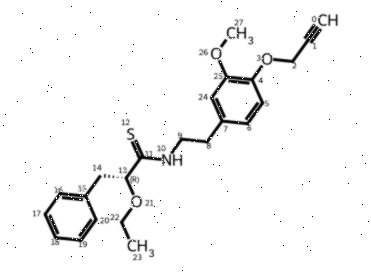 C#CCOc1ccc(CCNC(=S)[C@@H](Cc2ccccc2)OCC)cc1OC